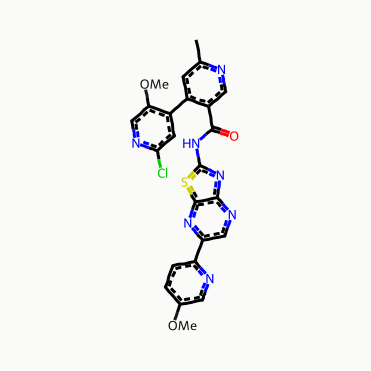 COc1ccc(-c2cnc3nc(NC(=O)c4cnc(C)cc4-c4cc(Cl)ncc4OC)sc3n2)nc1